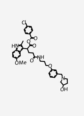 COc1ccc2[nH]c(C)c(C(CCC(=O)NCCCOc3cccc(CN4CCC(O)C4)c3)C(=O)OC(=O)c3ccc(Cl)cc3)c2c1